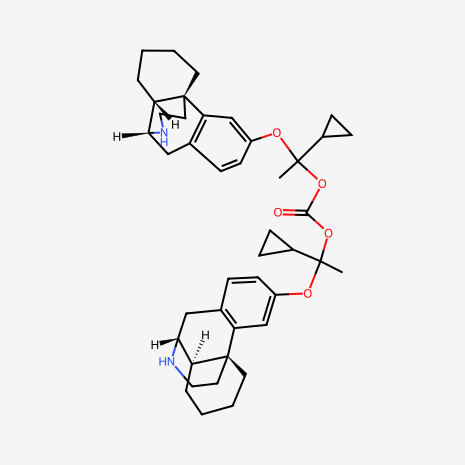 CC(OC(=O)OC(C)(Oc1ccc2c(c1)[C@@]13CCCC[C@H]1[C@@H](C2)NCC3)C1CC1)(Oc1ccc2c(c1)[C@@]13CCCC[C@H]1[C@@H](C2)NCC3)C1CC1